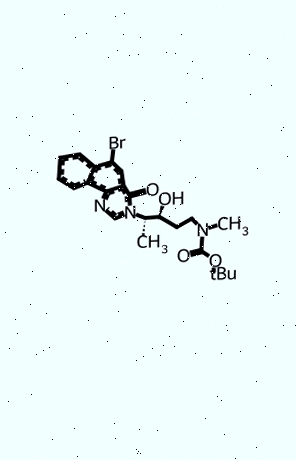 C[C@@H]([C@@H](O)CCN(C)C(=O)OC(C)(C)C)n1cnc2c(cc(Br)c3ccccc32)c1=O